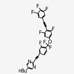 CCCCc1cnc(C#Cc2ccc(C(F)(F)Oc3cc(F)c(C#Cc4cc(F)c(F)c(F)c4)c(F)c3)c(F)c2)nc1